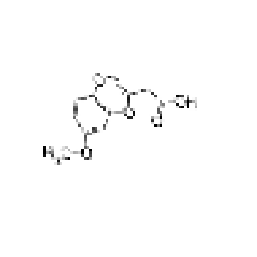 COc1ccc2c(c1)OC(CC(=O)O)=CO2